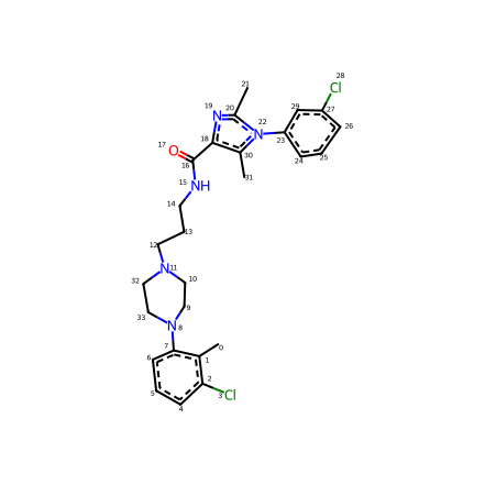 Cc1c(Cl)cccc1N1CCN(CCCNC(=O)c2nc(C)n(-c3cccc(Cl)c3)c2C)CC1